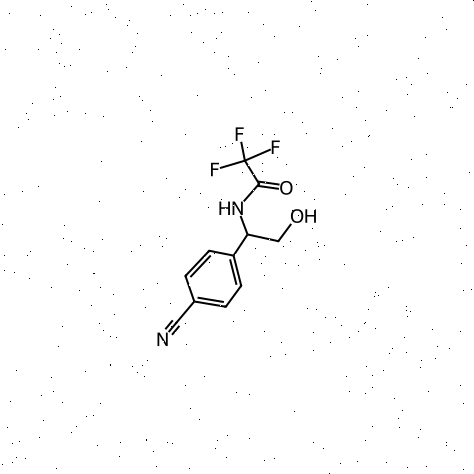 N#Cc1ccc(C(CO)NC(=O)C(F)(F)F)cc1